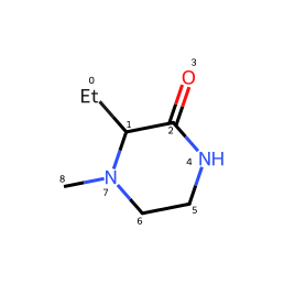 CCC1C(=O)NCCN1C